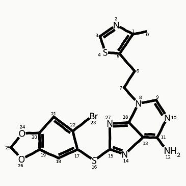 Cc1ncsc1CCn1cnc(N)c2nc(Sc3cc4c(cc3Br)OCO4)nc1-2